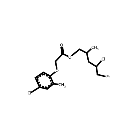 Cc1cc(Cl)ccc1OCC(=O)OCC(C)CC(Cl)CC(C)C